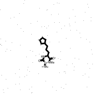 CNC(=O)C(CCCC1CCCC1)NC(=O)OC(C)(C)C